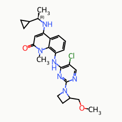 COCC1CCN1c1ncc(Cl)c(Nc2cccc3c(N[C@H](C)C4CC4)cc(=O)n(C)c23)n1